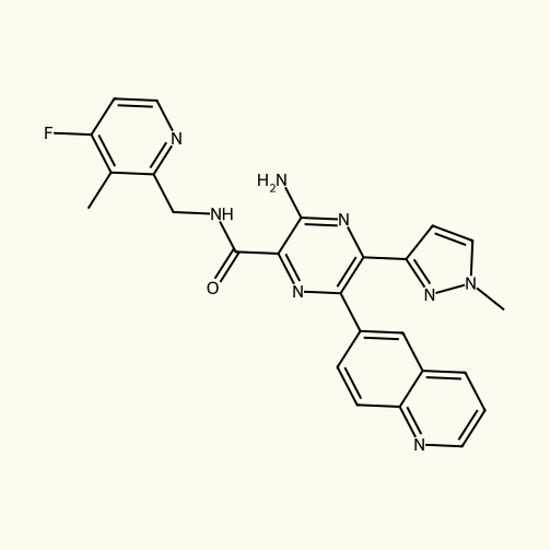 Cc1c(F)ccnc1CNC(=O)c1nc(-c2ccc3ncccc3c2)c(-c2ccn(C)n2)nc1N